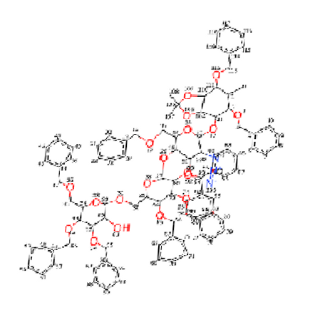 CC1C(OCc2ccccc2)C(OC2OC(COCc3ccccc3)C(OC3OC(COC4OC(COCc5ccccc5)C(OCc5ccccc5)C(OCc5ccccc5)C4O)C(OCc4ccccc4)C(OCc4ccccc4)C3OCc3ccccc3)C(OCc3ccccc3)C2N=[N+]=[N-])C2OC(C)(C)OC2C1OCc1ccccc1